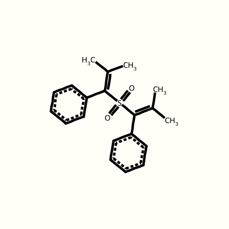 CC(C)=C(c1ccccc1)S(=O)(=O)C(=C(C)C)c1ccccc1